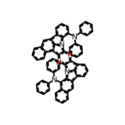 c1ccc(N(c2ccccc2)c2c3ccccc3cc3c4cccc5c6nc7c(nc6n(c23)c45)c2c3ccccc3cc3c4cccc(N(c5ccccc5)c5ccccc5)c4n7c32)cc1